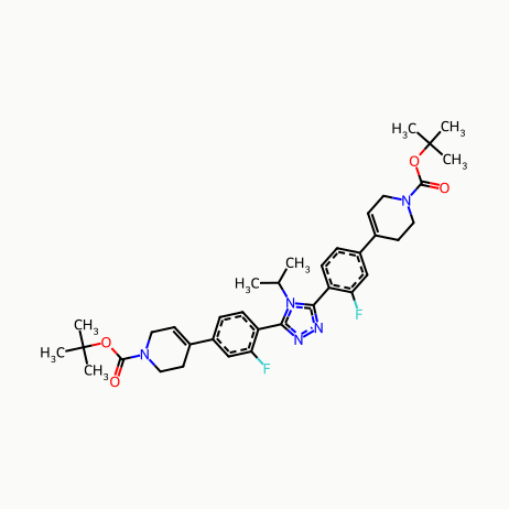 CC(C)n1c(-c2ccc(C3=CCN(C(=O)OC(C)(C)C)CC3)cc2F)nnc1-c1ccc(C2=CCN(C(=O)OC(C)(C)C)CC2)cc1F